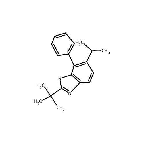 CC(C)c1ccc2nc(C(C)(C)C)sc2c1-c1ccccc1